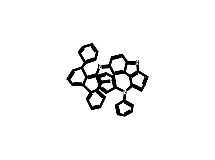 C1=CC(c2ccccc2)c2c(c3ccccc3c3nc4c5c(ccc4nc23)=Nc2cccc(N(c3ccccc3)c3ccccc3)c2-5)=C1